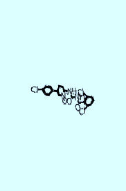 O=C(NC(=O)c1c(Cl)cccc1Cl)Nc1ccc(-c2ccc(Cl)cc2)c[n+]1[O-]